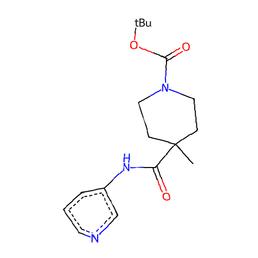 CC(C)(C)OC(=O)N1CCC(C)(C(=O)Nc2cccnc2)CC1